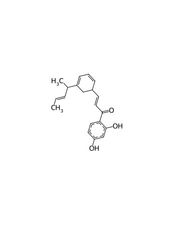 CC=CC(C)C1=CC=CC(/C=C/C(=O)c2ccc(O)cc2O)C1